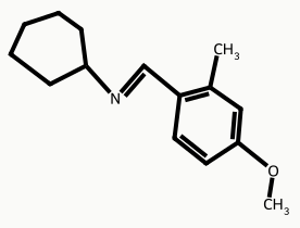 COc1ccc(/C=N/C2CCCCC2)c(C)c1